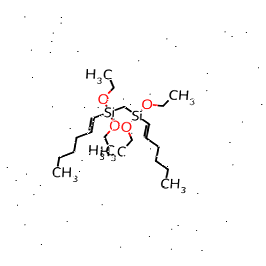 CCCCC=C[Si](C[Si](C=CCCCC)(OCC)OCC)(OCC)OCC